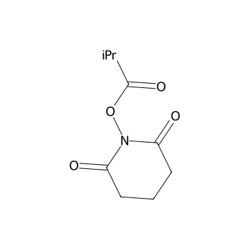 CC(C)C(=O)ON1C(=O)CCCC1=O